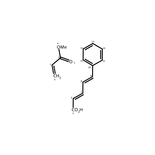 C=CC(=O)OC.O=C(O)C=CC=Cc1ccccc1